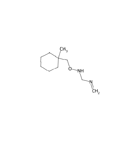 C=NCNOCC1(C)CCCCC1